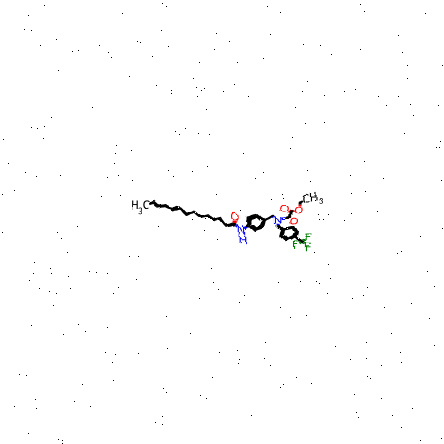 CCCC/C=C/CCCCCCCC(=O)Nc1ccc(CN(Cc2ccc(C(F)(F)F)cc2)C(=O)C(=O)OCC)cc1